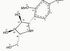 COc1ccc([C@@H]2N[C@H](CO)[C@@H](O)[C@H]2O)c(OC)n1